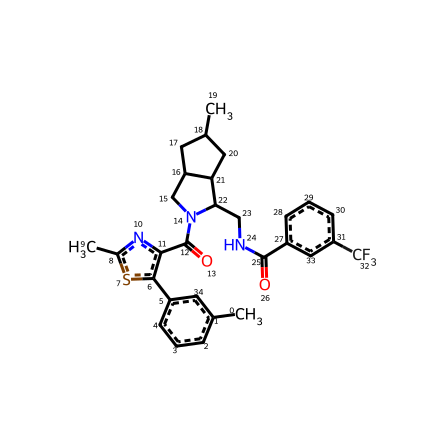 Cc1cccc(-c2sc(C)nc2C(=O)N2CC3CC(C)CC3C2CNC(=O)c2cccc(C(F)(F)F)c2)c1